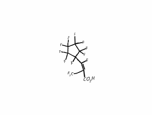 O=C(O)C(=C(F)C1(F)C(F)(F)C(F)(F)C(F)(F)C1(F)F)C(F)(F)F